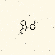 CN(C)C[C@@H]1C[C@@H](c2cccc(F)c2)c2ccccc21